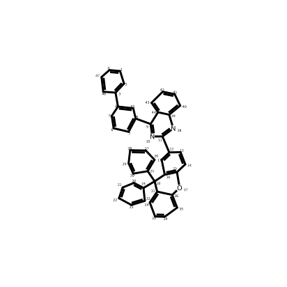 c1ccc(-c2cccc(-c3nc(-c4ccc5c(c4)C(c4ccccc4)(c4ccccc4)c4ccccc4O5)nc4ccccc34)c2)cc1